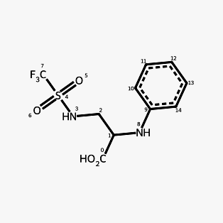 O=C(O)C(CNS(=O)(=O)C(F)(F)F)Nc1ccccc1